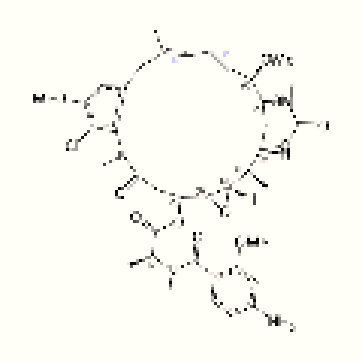 COc1cc(N)ccc1C(=O)N(C)[C@@H](C)C(=O)O[C@H]1CC(=O)N(C)c2cc(cc(OC)c2Cl)C/C(C)=C/C=C/[C@@H](OC)[C@@]2(O)C[C@H](OC(=O)N2)[C@@H](C)[C@@H]2O[C@@]12C